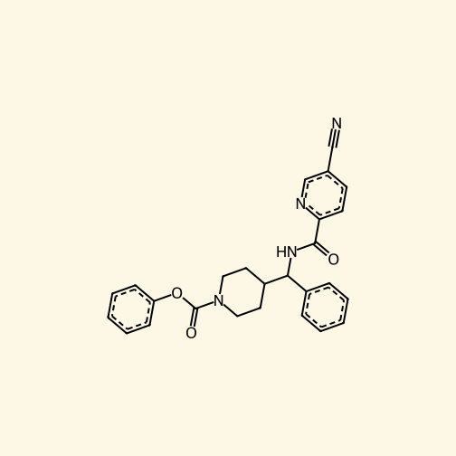 N#Cc1ccc(C(=O)NC(c2ccccc2)C2CCN(C(=O)Oc3ccccc3)CC2)nc1